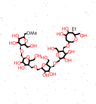 CC[C@@H]1C(CO)OCC(OC[C@@H]2C(CO)O[C@H](COC[C@@H]3C(CO)O[C@H](COC[C@@H]4C(CO)O[C@H](COC[C@@H]5C(CO)O[C@H](COC)C(O)C5O)C(O)C4O)C(O)C3O)C(O)C2O)CC(O)C1O